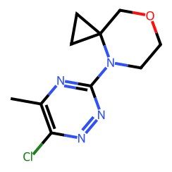 Cc1nc(N2CCOCC23CC3)nnc1Cl